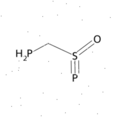 O=S(#P)CP